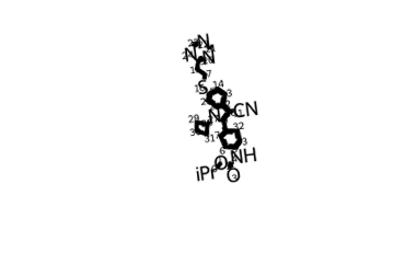 CC(C)OC(=O)Nc1ccc(-c2c(C#N)c3ccc(SCCc4ncncn4)cc3n2C2CCC2)cc1